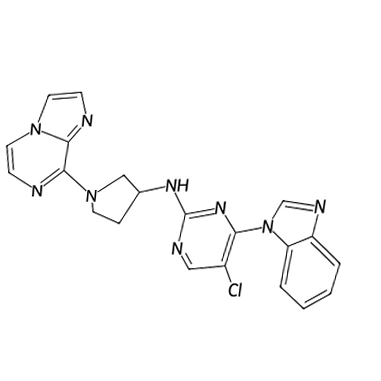 Clc1cnc(NC2CCN(c3nccn4ccnc34)C2)nc1-n1cnc2ccccc21